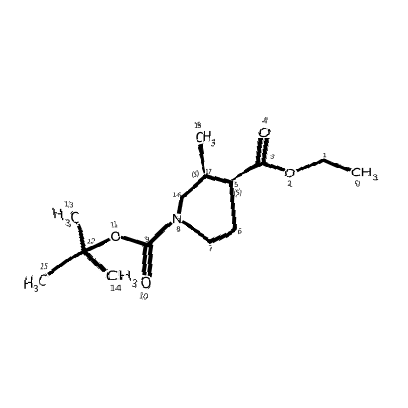 CCOC(=O)[C@H]1CCN(C(=O)OC(C)(C)C)C[C@H]1C